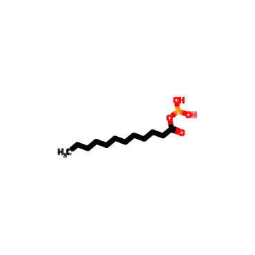 CCCCCCCCCCCC(=O)OP(O)O